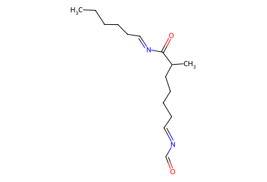 CCCCCC=NC(=O)C(C)CCCCC=NC=O